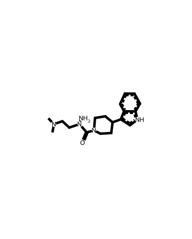 CN(C)CCN(N)C(=O)N1CCC(c2c[nH]c3ccccc23)CC1